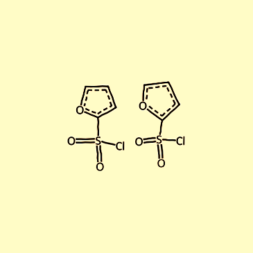 O=S(=O)(Cl)c1ccco1.O=S(=O)(Cl)c1ccco1